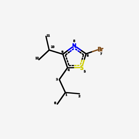 CC(C)Cc1sc(Br)nc1C(C)C